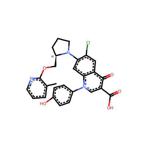 Cc1cccnc1OC[C@H]1CCCN1c1cc2c(cc1Cl)c(=O)c(C(=O)O)cn2-c1ccc(O)cc1